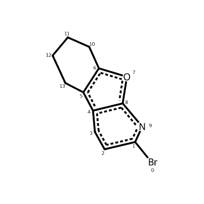 Brc1ccc2c3c(oc2n1)CCCC3